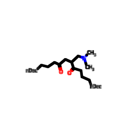 CCCCCCCCCCCCCC(=O)CC(CN(C)C)C(=O)CCCCCCCCCCCCC